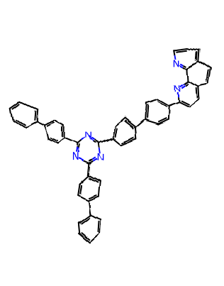 c1ccc(-c2ccc(-c3nc(-c4ccc(-c5ccccc5)cc4)nc(-c4ccc(-c5ccc(-c6ccc7ccc8cccnc8c7n6)cc5)cc4)n3)cc2)cc1